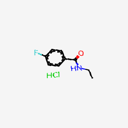 CCNC(=O)c1ccc(F)cc1.Cl